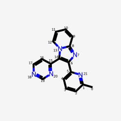 Cc1cccc(-c2nc3ccccn3c2-c2ccn[c]n2)n1